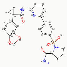 NC(=O)[C@@H]1CCCN1S(=O)(=O)c1ccc(-c2cccc(NC(=O)C3(c4ccc5c(c4)OCO5)CC3)n2)cc1